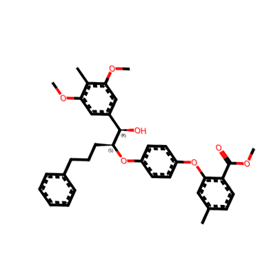 COC(=O)c1ccc(C)cc1Oc1ccc(O[C@@H](CCCc2ccccc2)[C@H](O)c2cc(OC)c(C)c(OC)c2)cc1